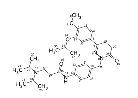 COc1ccc(C2=NN(Cc3ccc(NC(=O)CCN(C(C)C)C(C)C)cc3)C(=O)CC2)cc1OC(C)C